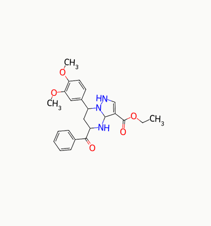 CCOC(=O)C1=CNN2C1NC(C(=O)c1ccccc1)CC2c1ccc(OC)c(OC)c1